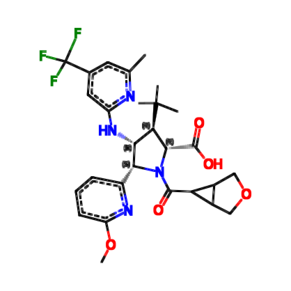 COc1cccc([C@@H]2[C@H](Nc3cc(C(F)(F)F)cc(C)n3)[C@@H](C(C)(C)C)[C@H](C(=O)O)N2C(=O)C2C3COCC32)n1